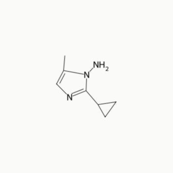 Cc1cnc(C2CC2)n1N